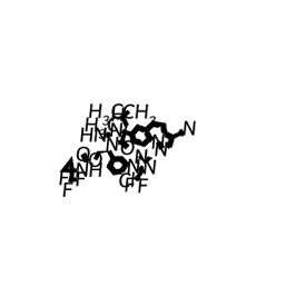 CC(C)(C)C[C@]1(c2ccc3c(ccc4c(C#N)cnn43)c2)NC(=N)N([C@H](COC(=O)NC2(C(F)(F)F)CC2)c2ccc(Cl)c(-n3ncnc3C(F)F)c2)C1=O